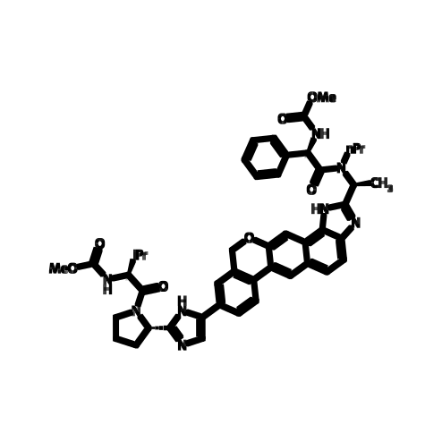 CCCN(C(=O)[C@H](NC(=O)OC)c1ccccc1)[C@@H](C)c1nc2ccc3cc4c(cc3c2[nH]1)OCc1cc(-c2cnc([C@@H]3CCCN3C(=O)[C@@H](NC(=O)OC)C(C)C)[nH]2)ccc1-4